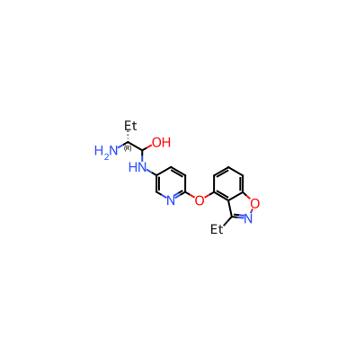 CCc1noc2cccc(Oc3ccc(NC(O)[C@H](N)CC)cn3)c12